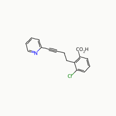 O=C(O)c1cccc(Cl)c1CCC#Cc1ccccn1